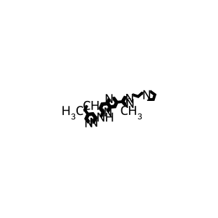 Cc1nn(CCCN2CCCC2)cc1-c1cnc2ccc(Nc3cc(C(C)C)cnn3)nc2c1